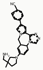 CC1(CN)CCN(C2=CC3Cn4cc(-c5ccc(C#N)cc5)cc4-c4nncn4C3C=C2)C1